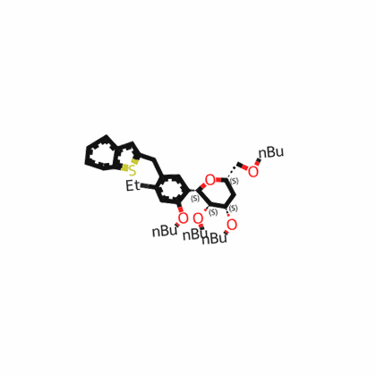 CCCCOC[C@@H]1C[C@H](OCCCC)[C@H](OCCCC)[C@H](c2cc(Cc3cc4ccccc4s3)c(CC)cc2OCCCC)O1